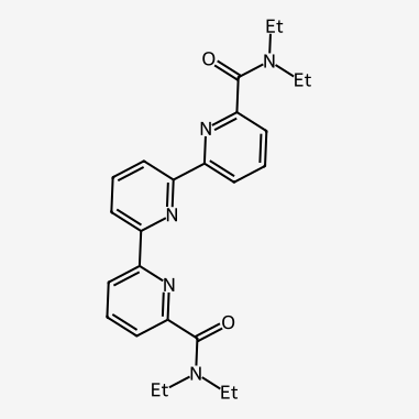 CCN(CC)C(=O)c1cccc(-c2cccc(-c3cccc(C(=O)N(CC)CC)n3)n2)n1